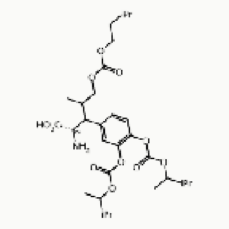 CC(C)CCOC(=O)OCC(C)C(c1ccc(OC(=O)OC(C)C(C)C)c(OC(=O)OC(C)C(C)C)c1)[C@H](N)C(=O)O